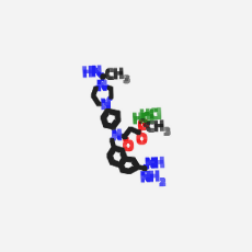 COC(=O)CC(=O)N(Cc1ccc2ccc(C(=N)N)cc2c1)c1ccc(N2CCCN(C(C)=N)CC2)cc1.Cl.Cl